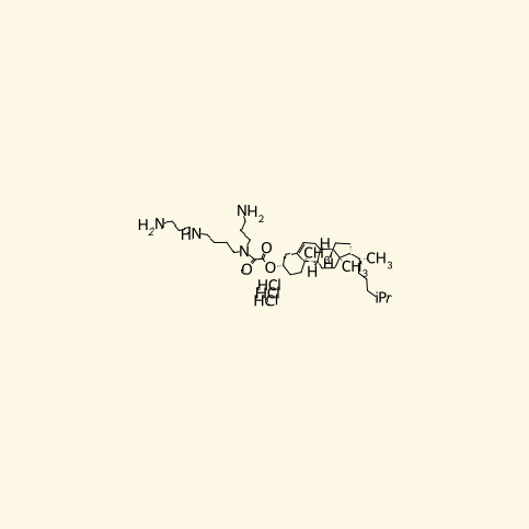 CC(C)CCC[C@@H](C)[C@H]1CC[C@H]2[C@@H]3CC=C4C[C@@H](OC(=O)C(=O)N(CCCN)CCCCNCCCN)CC[C@]4(C)[C@H]3CC[C@]12C.Cl.Cl.Cl